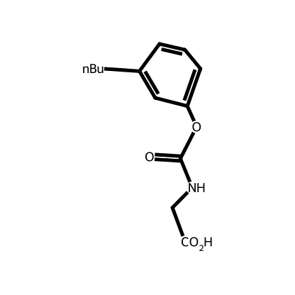 CCCCc1cccc(OC(=O)NCC(=O)O)c1